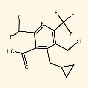 O=C(O)c1c(C(F)F)nc(C(F)(F)F)c(CCl)c1CC1CC1